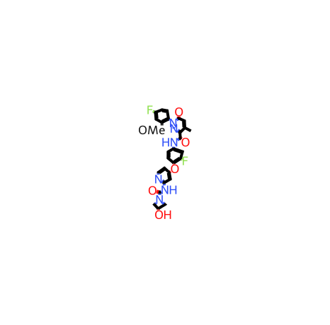 COc1cc(F)ccc1-n1nc(C(=O)Nc2ccc(Oc3ccnc(NC(=O)N4CC(O)C4)c3)c(F)c2)c(C)cc1=O